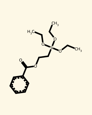 CCO[Si](CCOC(=O)c1ccccc1)(OCC)OCC